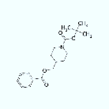 CC(C)(C)OC(=O)N1CCC(COC(=O)c2ccccc2)CC1